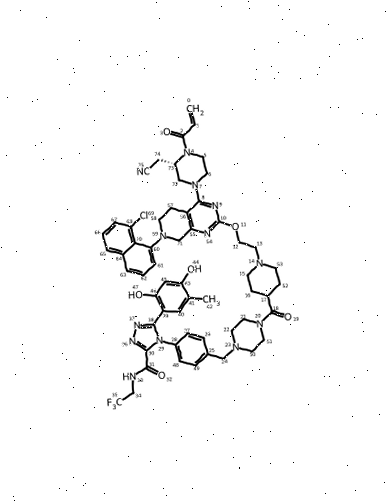 C=CC(=O)N1CCN(c2nc(OCCN3CCC(C(=O)N4CCN(Cc5ccc(-n6c(C(=O)NCC(F)(F)F)nnc6-c6cc(C)c(O)cc6O)cc5)CC4)CC3)nc3c2CCN(c2cccc4cccc(Cl)c24)C3)C[C@@H]1CC#N